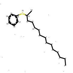 CCCCCCCCCCCCCC(C)Sc1ccccc1